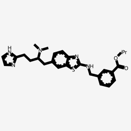 CC(C)OC(=O)c1cccc(CNc2nc3ccc(CC(CCc4ncc[nH]4)N(C)C)cc3s2)c1